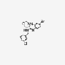 Clc1cccc(CNC2=Nc3ccc(Br)cc3NC23CCOCC3)c1